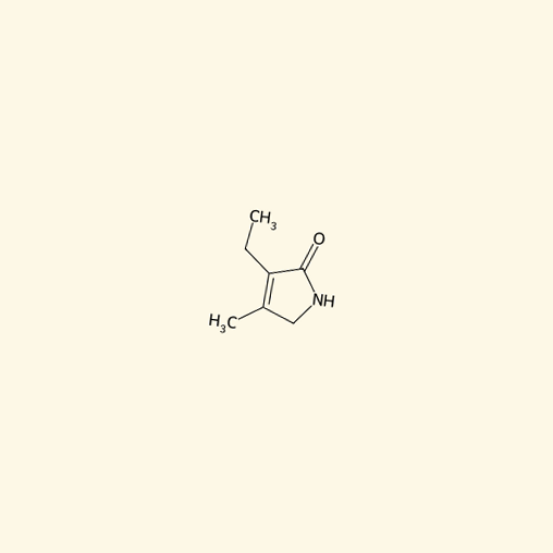 CCC1=C(C)CNC1=O